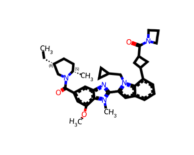 CC[C@@H]1CC[C@H](C)N(C(=O)c2cc(OC)c3c(c2)nc(-c2cc4cccc(C5CC(C(=O)N6CCC6)C5)c4n2CC2CC2)n3C)C1